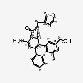 Cc1cc(-c2c(-c3ccccc3)nc(N)n3c(=O)n(Cc4cocn4)nc23)cc(CO)n1